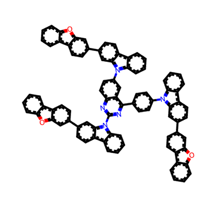 c1ccc2c(c1)oc1cc(-c3ccc4c5ccccc5n(-c5ccc(-c6nc(-n7c8ccccc8c8ccc(-c9ccc%10c(c9)oc9ccccc9%10)cc87)nc7ccc(-n8c9ccccc9c9ccc(-c%10ccc%11c(c%10)oc%10ccccc%10%11)cc98)cc67)cc5)c4c3)ccc12